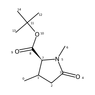 CC1CC(=O)N(C)[C@@H]1C(=O)OC(C)(C)C